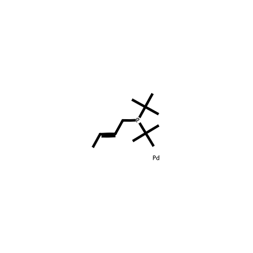 CC=CCP(C(C)(C)C)C(C)(C)C.[Pd]